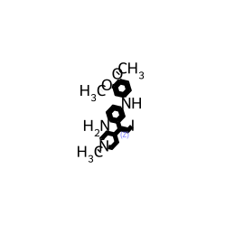 COc1ccc(Nc2ccc(N)c(/C(=C\I)C3CCN(C)CC3)c2)cc1OC